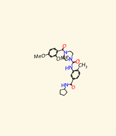 COc1ccc(C(=O)N2CCN(C(=O)Nc3cc(C(=O)NC4CCCC4)ccc3C)CC2)c(OC)c1